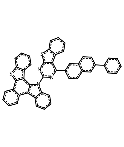 c1ccc(-c2ccc3cc(-c4nc(-n5c6ccccc6c6c7ccccc7c7sc8ccccc8c7c65)nc5sc6ccccc6c45)ccc3c2)cc1